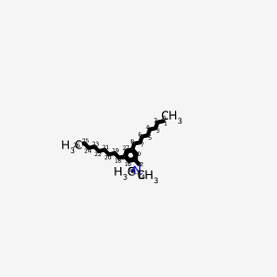 CCCCCCCCCc1[c]c(CN(C)C)cc(CCCCCCCCC)c1